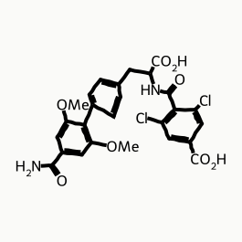 COc1cc(C(N)=O)cc(OC)c1-c1ccc(CC(NC(=O)c2c(Cl)cc(C(=O)O)cc2Cl)C(=O)O)cc1